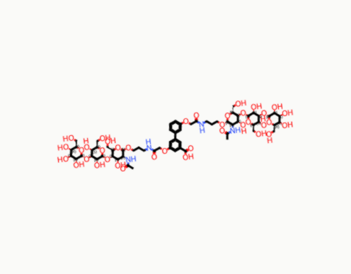 CC(=O)N[C@H]1[C@H](OCCCNC(=O)COc2cccc(-c3cc(OCC(=O)NCCCO[C@@H]4O[C@H](CO)[C@@H](O[C@@H]5O[C@H](CO)[C@H](O)[C@H](O[C@H]6O[C@H](CO)[C@H](O)[C@H](O)[C@H]6O)[C@H]5O)[C@H](O)[C@H]4NC(C)=O)cc(C(=O)O)c3)c2)O[C@H](CO)[C@@H](O[C@@H]2O[C@H](CO)[C@H](O)[C@H](O[C@H]3O[C@H](CO)[C@H](O)[C@H](O)[C@H]3O)[C@H]2O)[C@@H]1O